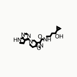 O=C(NCCCC(O)C1CC1)c1noc2c1CN(c1ncnc3[nH]ccc13)CC2